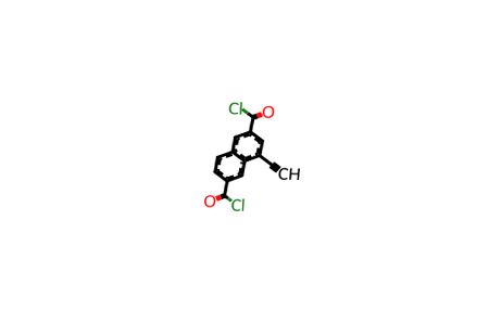 C#Cc1cc(C(=O)Cl)cc2ccc(C(=O)Cl)cc12